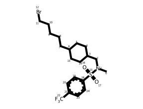 CN(CC1CCC(CCCCCBr)CC1)S(=O)(=O)c1ccc(C(F)(F)F)cc1